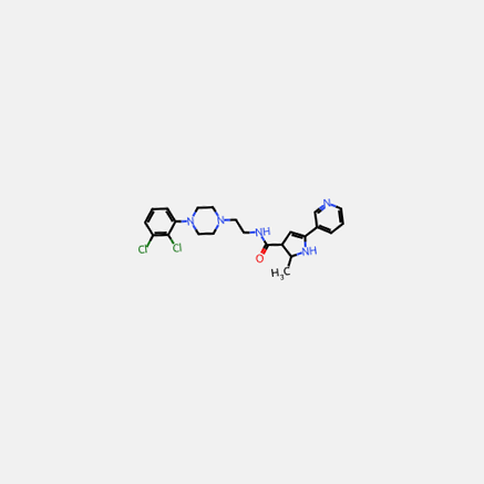 CC1NC(c2cccnc2)=CC1C(=O)NCCN1CCN(c2cccc(Cl)c2Cl)CC1